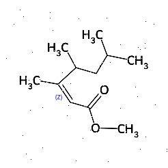 COC(=O)/C=C(/C)C(C)CC(C)C